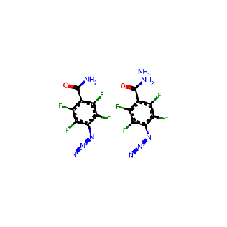 N.[N-]=[N+]=Nc1c(F)c(F)c(C(N)=O)c(F)c1F.[N-]=[N+]=Nc1c(F)c(F)c(C(N)=O)c(F)c1F